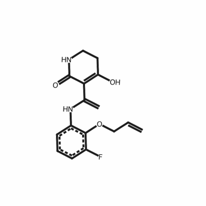 C=CCOc1c(F)cccc1NC(=C)C1=C(O)CCNC1=O